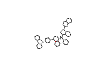 c1ccc(-c2ccccc2N(c2ccc(-c3ccc(-n4c5ccccc5c5ccccc54)cc3)cc2)c2ccc(-c3ccc4ccccc4c3)c3ccccc23)cc1